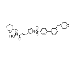 O=C(C=Cc1ccn(S(=O)(=O)c2ccc(-c3cccc(CN4CCOCC4)c3)cc2)c1)N(O)OC1CCCCO1